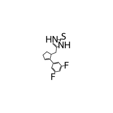 Fc1cc(F)cc(C2=CCCC2Cc2c[nH]c(=S)[nH]2)c1